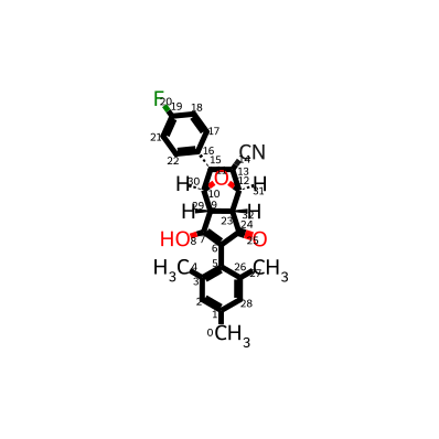 Cc1cc(C)c(C2=C(O)[C@@H]3[C@@H]4O[C@@H](C(C#N)[C@H]4c4ccc(F)cc4)[C@@H]3C2=O)c(C)c1